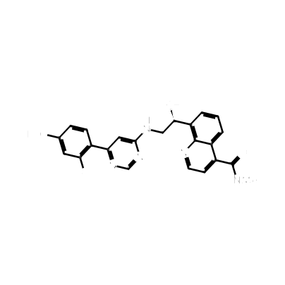 CNC(=O)c1ccnc2c([C@H](C)CNc3cc(-c4ccc(C)cc4C)ncn3)cccc12